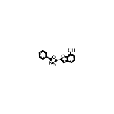 Oc1cccc2cc(-c3nnc(-c4ccccc4)o3)oc12